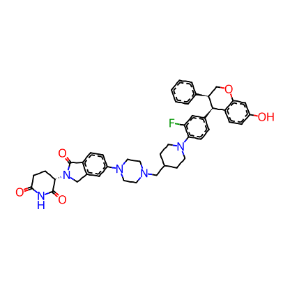 O=C1CC[C@H](N2Cc3cc(N4CCN(CC5CCN(c6ccc([C@@H]7c8ccc(O)cc8OC[C@@H]7c7ccccc7)cc6F)CC5)CC4)ccc3C2=O)C(=O)N1